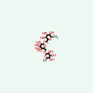 CCC1O[C@@H](OCC2O[C@@H](OCC3O[C@@H](C)C(O)[C@H](O)[C@@H]3O)C(O)C(O)(O)[C@@H]2O)C(O)[C@H](O)[C@@H]1O